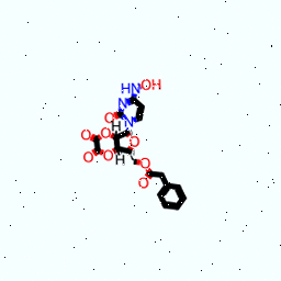 O=C(Cc1ccccc1)OC[C@H]1O[C@@H](n2ccc(NO)nc2=O)[C@@H]2OC(=O)C(=O)O[C@@H]21